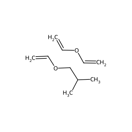 C=COC=C.C=COCC(C)C